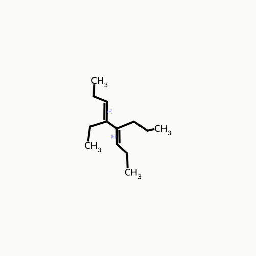 CC/C=C(CC)/C(=C/CC)CCC